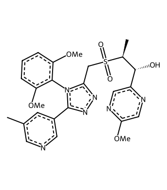 COc1cnc([C@@H](O)[C@H](C)S(=O)(=O)Cc2nnc(-c3cncc(C)c3)n2-c2c(OC)cccc2OC)cn1